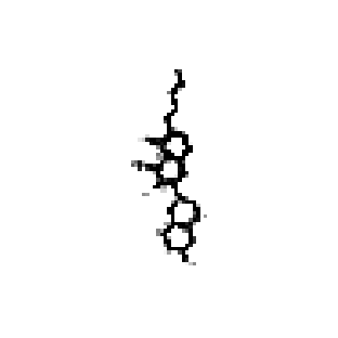 C/C=C/CCc1ccc2cc(C3CCC4CC(CC)CCC4C3)c(F)c(F)c2c1F